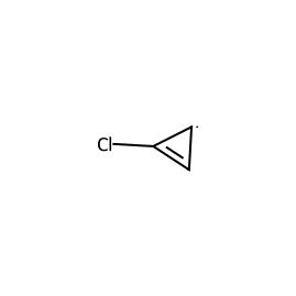 ClC1=C[CH]1